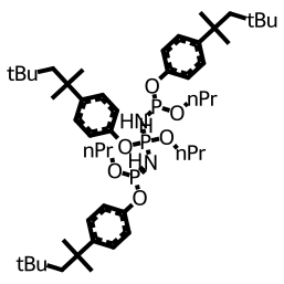 CCCOP(N[PH](N=[PH](OCCC)Oc1ccc(C(C)(C)CC(C)(C)C)cc1)(OCCC)Oc1ccc(C(C)(C)CC(C)(C)C)cc1)Oc1ccc(C(C)(C)CC(C)(C)C)cc1